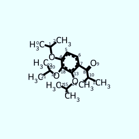 CC(C)Oc1ccc(C(=O)C(C)C)c(OC(C)C)c1OC(C)C